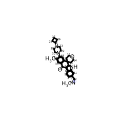 C/N=C\c1ccc2c3c([nH]c2c1)C1(CCOCC1)c1cc(N2CCN(C4CCC4)CC2)c(C)cc1C3=O